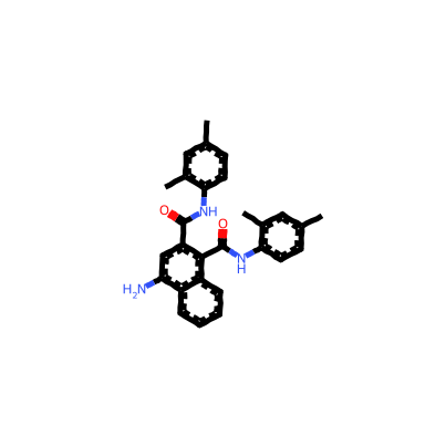 Cc1ccc(NC(=O)c2cc(N)c3ccccc3c2C(=O)Nc2ccc(C)cc2C)c(C)c1